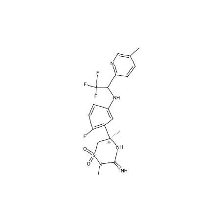 Cc1ccc(C(Nc2ccc(F)c([C@]3(C)CS(=O)(=O)N(C)C(=N)N3)c2)C(F)(F)F)nc1